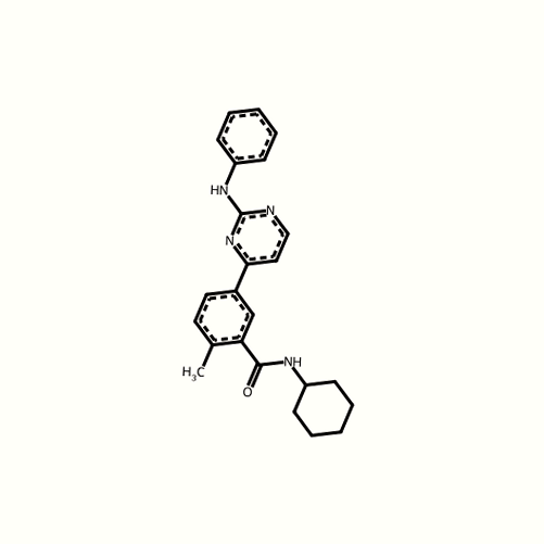 Cc1ccc(-c2ccnc(Nc3ccccc3)n2)cc1C(=O)NC1CCCCC1